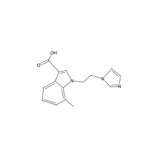 Cc1cccc2c(C(=O)O)cn(CCn3ccnc3)c12